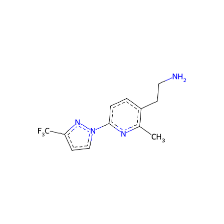 Cc1nc(-n2ccc(C(F)(F)F)n2)ccc1CCN